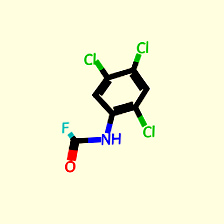 O=C(F)Nc1cc(Cl)c(Cl)cc1Cl